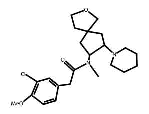 COc1ccc(CC(=O)N(C)C2CC3(CCOC3)CC2N2CCCCC2)cc1Cl